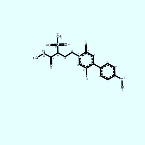 CCOc1ccc(-c2cc(=O)n(CCC(C(=O)NO)S(C)(=O)=O)cc2F)cc1